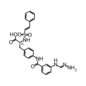 NN=CNc1cccc(C(=O)Nc2ccc(C[C@H](NS(=O)(=O)C=Cc3ccccc3)C(=O)O)cc2)c1